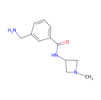 CN1CC(NC(=O)c2cccc(CN)c2)C1